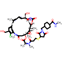 CNC(=O)C1CCC(CN2C(=O)CC(SCCC(=O)N(C)[C@@H](C)C(=O)O[C@H]3CC(=O)N(C)c4cc(cc(CO)c4Cl)C/C(C)=C/C=C/[C@@H](CO)[C@@]4(O)C[C@H](OC(=O)N4)[C@@H](C)[C@@H]4O[C@@]34C)C2=O)CC1